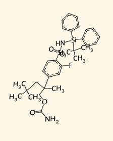 CC(C)(C)CC(C)(COC(N)=O)c1ccc(S(=O)(=O)N[Si](c2ccccc2)(c2ccccc2)C(C)(C)C)c(F)c1